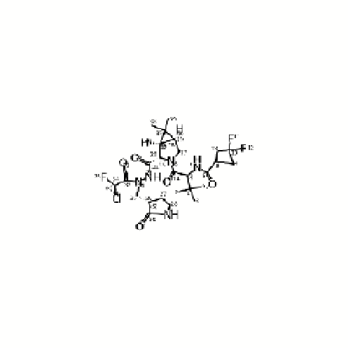 CC(C)(C)[C@H](NC(=O)C1CC(F)(F)C1)C(=O)N1C[C@H]2[C@@H]([C@H]1C(=O)NN(C[C@@H]1CCNC1=O)C(=O)[C@H](F)Cl)C2(C)C